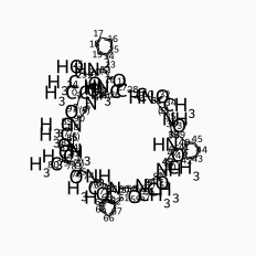 CC(C)C[C@@H]1NC(=O)[C@H](NC(=O)[C@H](Cc2ccccc2)NC(=O)C(C)O)CCCCNC(=O)[C@H](C)NC(=O)[C@H](Cc2ccccc2)NC(=O)[C@H](C)NC(=O)[C@H](C)N(C)C(=O)[C@H](Cc2ccccc2)N(C)C(=O)[C@H](C)NC(=O)[C@H](CC(C)C)N(C)C(=O)[C@H](C)N(C)C1=O